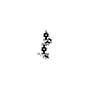 NC(NC(=O)C(F)(F)F)c1ccc(C(=O)NCC2COCCN2C(=O)c2ccc(F)cc2)cc1